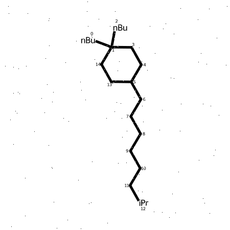 CCCCC1(CCCC)CCC(CCCCCCC(C)C)CC1